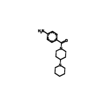 Nc1ccc(C(=O)N2CCC(N3CCCCC3)CC2)cc1